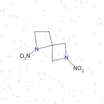 O=[N+]([O-])N1CC2(CCN2[N+](=O)[O-])C1